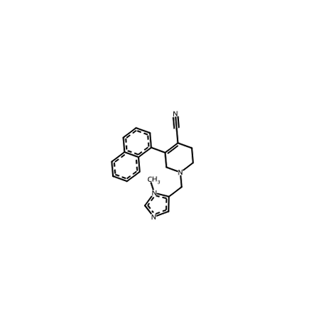 Cn1cncc1CN1CCC(C#N)=C(c2cccc3ccccc23)C1